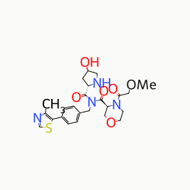 COCC(=O)N1CCOC[C@H]1C(=O)N(Cc1ccc(-c2scnc2C)cc1)C(=O)[C@@H]1C[C@@H](O)CN1